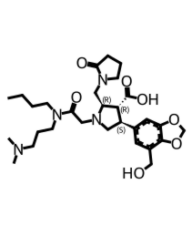 CCCCN(CCCN(C)C)C(=O)CN1C[C@H](c2cc(CO)c3c(c2)OCO3)[C@@H](C(=O)O)[C@@H]1CN1CCCC1=O